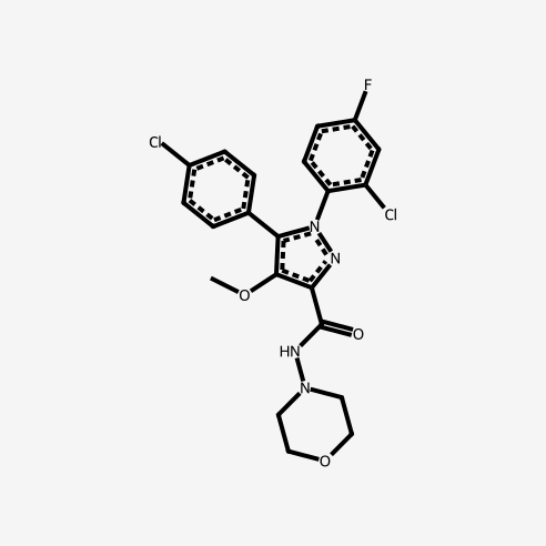 COc1c(C(=O)NN2CCOCC2)nn(-c2ccc(F)cc2Cl)c1-c1ccc(Cl)cc1